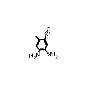 [C-]#[N+]c1cc(N)c(N)cc1C